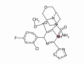 COC(=O)C1=C(CN2C3COCC2CN(S(N)(=O)=O)C3)NC(c2nccs2)=NC1c1ccc(F)cc1Cl